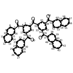 O=C(c1cc(C(=O)c2ccc3ccccc3c2)cc(C(=O)c2ccc3ccccc3c2)c1)c1cc(C(=O)c2ccc3ccccc3c2)cc(C(=O)c2ccc3ccccc3c2)c1